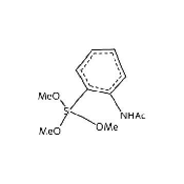 CO[Si](OC)(OC)c1ccccc1NC(C)=O